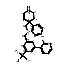 Fc1ncccc1-c1cc(COCC2(c3ccccc3)CCNCC2)cc(C(F)(F)F)c1